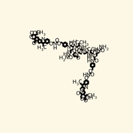 CCc1c2c(nc3ccc(OCNC(=O)OCc4ccc(NC(=O)[C@H](CCCNC(N)=O)NC(=O)[C@@H](NC(=O)CN(CCN5C(=O)C=CC5=O)CC(=O)N[C@H](C(=O)N[C@@H](CCCNC(N)=O)C(=O)Nc5ccc(COC(=O)NCOc6ccc7nc8c(c(CC)c7c6)Cn6c-8cc7c(c6=O)COC(=O)[C@]7(O)CC)cc5)C(C)C)C(C)C)cc4)cc13)-c1cc3c(c(=O)n1C2)COC(=O)[C@]3(O)CC